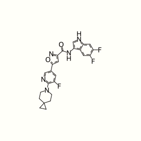 O=C(Nc1c[nH]c2cc(F)c(F)cc12)c1cc(-c2cnc(N3CCC4(CC3)CC4)c(F)c2)on1